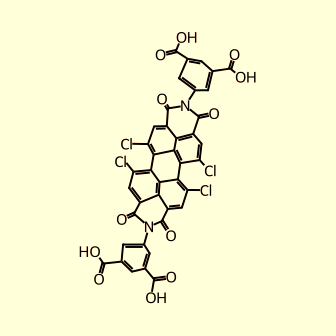 O=C(O)c1cc(C(=O)O)cc(N2C(=O)c3cc(Cl)c4c5c(Cl)cc6c7c(cc(Cl)c(c8c(Cl)cc(c3c48)C2=O)c75)C(=O)N(c2cc(C(=O)O)cc(C(=O)O)c2)C6=O)c1